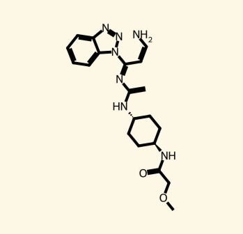 C=C(/N=C(\C=C/N)n1nnc2ccccc21)N[C@H]1CC[C@H](NC(=O)COC)CC1